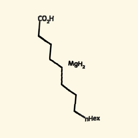 CCCCCCCCCCCCCC(=O)O.[MgH2]